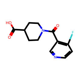 O=C(O)C1CCN(C(=O)c2cnccc2F)CC1